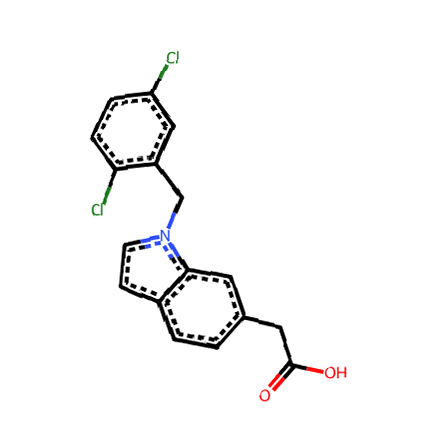 O=C(O)Cc1ccc2ccn(Cc3cc(Cl)ccc3Cl)c2c1